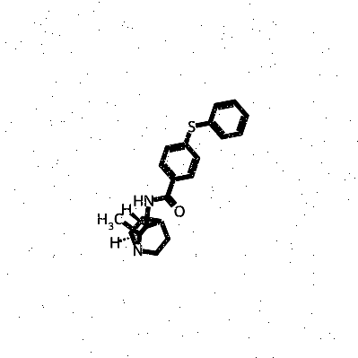 C[C@H]1[C@H](NC(=O)c2ccc(Sc3ccccc3)cc2)C2CCN1CC2